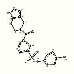 O=C(c1cccc(S(=O)(=O)Nc2ccc(Br)cc2)c1)N1CCc2sccc2C1